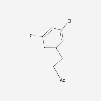 CC(=O)CCc1cc(Cl)cc(Cl)c1